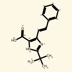 CC(C)(C)c1nc(/C=C/c2ccccc2)c(C(=O)O)[nH]1